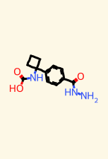 NNC(=O)c1ccc(C2(NC(=O)O)CCC2)cc1